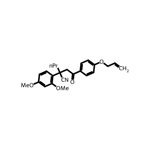 C=CCOc1ccc(C(=O)CC(C#N)(CCC)c2ccc(OC)cc2OC)cc1